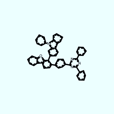 c1ccc(-c2nc(-c3ccccc3)nc(-c3ccc(-c4ccc5c(oc6ccccc65)c4-c4ccc5c6ccccc6n(-c6ccccc6)c5c4)cc3)n2)cc1